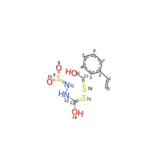 C=Cc1ccccc1.O=S(=O)=NNC(O)=S.OC=S